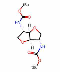 CC(C)(C)OC(=O)N[C@H]1CO[C@H]2[C@@H]1OC[C@@H]2NC(=O)OC(C)(C)C